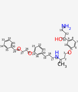 CC(CCOc1cccc(C(O)CCN)c1)NCCCc1cccc(OCCOCc2ccccc2)c1